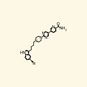 N#Cc1ccc2[nH]cc(CCCCN3CCN(c4ncc(-c5ccc(C(N)=O)nc5)cn4)CC3)c2c1